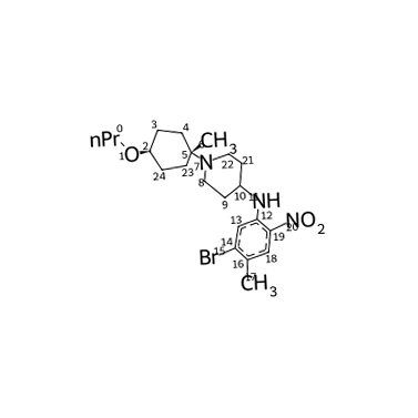 CCCO[C@H]1CC[C@](C)(N2CCC(Nc3cc(Br)c(C)cc3[N+](=O)[O-])CC2)CC1